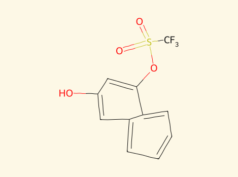 O=S(=O)(Oc1cc(O)cc2ccccc12)C(F)(F)F